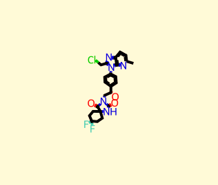 Cc1ccc2nc(CCl)n(-c3ccc(C(=O)CN4C(=O)NC5(CCC(F)(F)CC5)C4=O)cc3)c2n1